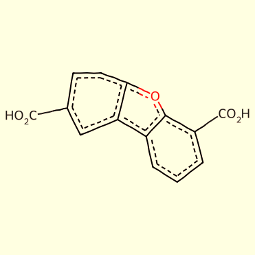 O=C(O)c1ccc2oc3c(C(=O)O)cccc3c2c1